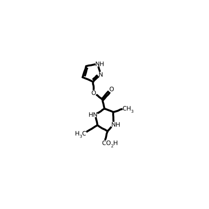 CC1NC(C(=O)Oc2cc[nH]n2)C(C)NC1C(=O)O